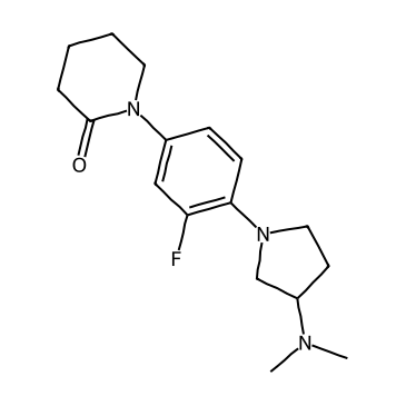 CN(C)C1CCN(c2ccc(N3CCCCC3=O)cc2F)C1